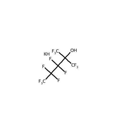 OC(C(F)(F)F)(C(F)(F)F)C(F)(F)C(F)(F)C(F)(F)F.[KH]